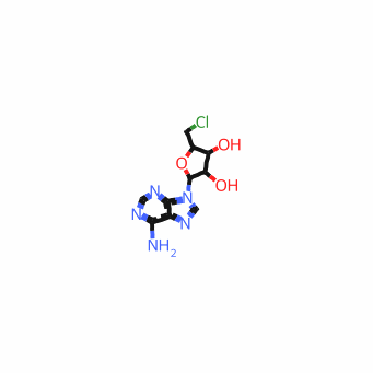 Nc1ncnc2c1ncn2C1OC(CCl)C(O)C1O